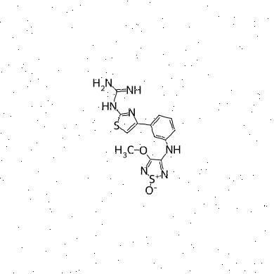 COc1n[s+]([O-])nc1Nc1cccc(-c2csc(NC(=N)N)n2)c1